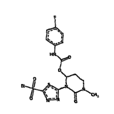 CCS(=O)(=O)c1nnc(N2C(=O)N(C)CCC2OC(=O)Nc2ccc(F)cc2)s1